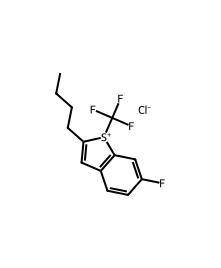 CCCCc1cc2ccc(F)cc2[s+]1C(F)(F)F.[Cl-]